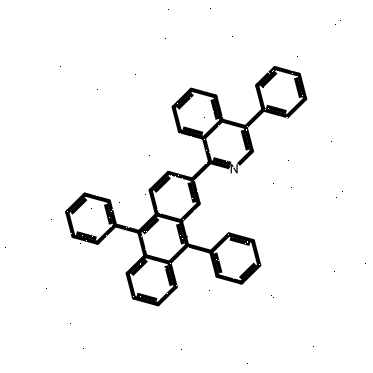 c1ccc(-c2cnc(-c3ccc4c(-c5ccccc5)c5ccccc5c(-c5ccccc5)c4c3)c3ccccc23)cc1